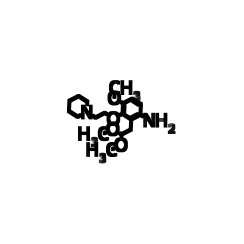 COc1ccc(N)c(CC(OC)OC)c1OCCN1CCCCC1